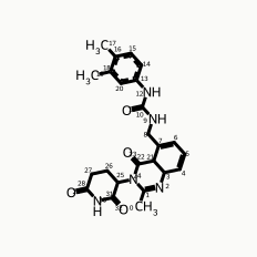 CC1=NC2C=CC=C(CNC(=O)Nc3ccc(C)c(C)c3)C2C(=O)N1C1CCC(=O)NC1=O